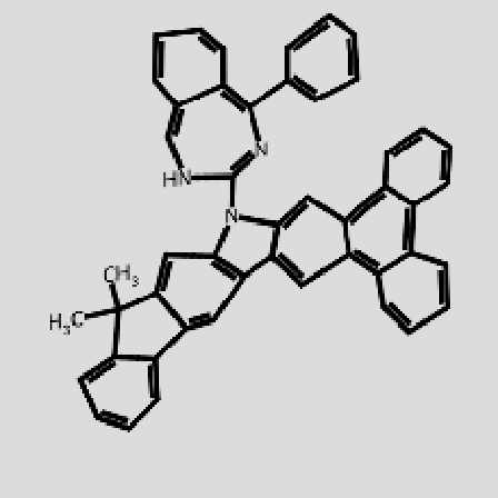 CC1(C)c2ccccc2-c2cc3c4cc5c6ccccc6c6ccccc6c5cc4n(C4=NC(c5ccccc5)=c5ccccc5=CN4)c3cc21